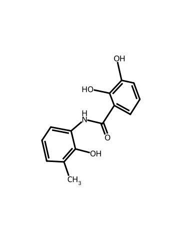 Cc1cccc(NC(=O)c2cccc(O)c2O)c1O